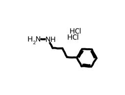 Cl.Cl.NNCCCc1ccccc1